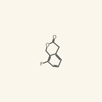 O=C1Cc2cccc(F)c2CO1